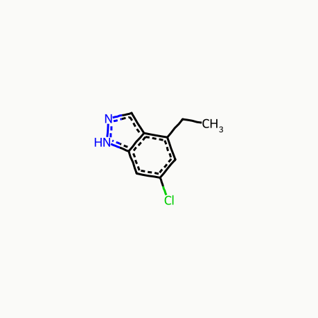 CCc1cc(Cl)cc2[nH]ncc12